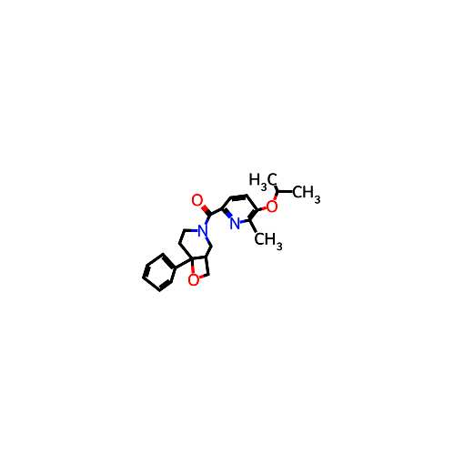 Cc1nc(C(=O)N2CCC3(c4ccccc4)OCC3C2)ccc1OC(C)C